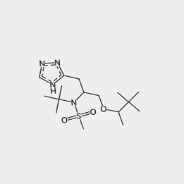 CC(OCC(Cc1nnc[nH]1)N(C(C)(C)C)S(C)(=O)=O)C(C)(C)C